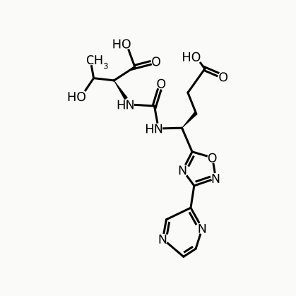 CC(O)[C@H](NC(=O)N[C@@H](CCC(=O)O)c1nc(-c2cnccn2)no1)C(=O)O